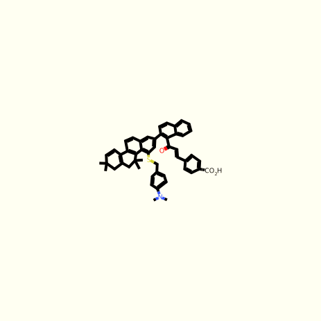 CN(C)c1ccc(CSc2cc(-c3ccc4ccccc4c3C(=O)C=Cc3ccc(C(=O)O)cc3)cc3ccc4c(c23)C(C)(C)CC2=C4C=CC(C)(C)C2)cc1